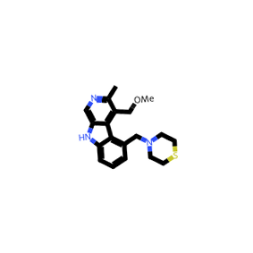 COCc1c(C)ncc2[nH]c3cccc(CN4CCSCC4)c3c12